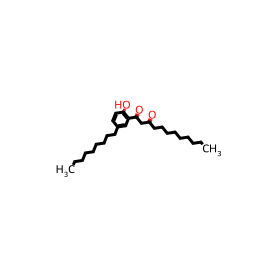 CCCCCCCCCC(=O)CC(=O)c1cc(CCCCCCCCC)ccc1O